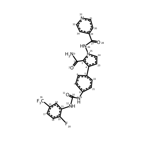 NC(=O)c1c(-c2ccc(NC(=O)Nc3cc(C(F)(F)F)ccc3F)cc2)ccn1NC(=O)c1ccncc1